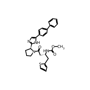 COC(=O)N[C@@H](CC(=O)N1CCC[C@H]1c1ncc(-c2ccc(-c3ccccc3)cc2)[nH]1)Cc1cccs1